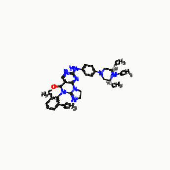 Cc1cccc(C)c1N1C(=O)c2cnc(Nc3ccc(N4C[C@@H](C)N(C)[C@@H](C)C4)cc3)nc2N2CCN=C21